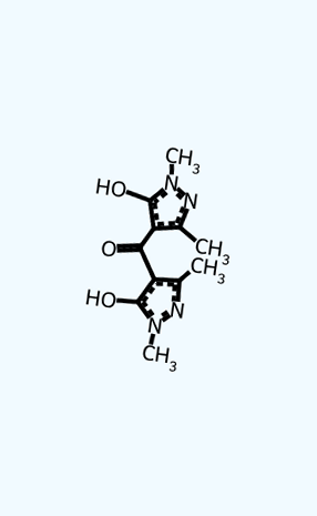 Cc1nn(C)c(O)c1C(=O)c1c(C)nn(C)c1O